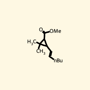 CCCCC=CC1C(C(=O)OC)C1(C)C